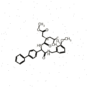 COC(=O)C[C@@H](CC(C)C)C(=O)NC(C(=O)NCc1cccc(OC)c1)c1ccc(-c2ccccc2)cc1